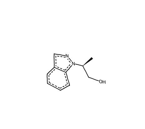 C[C@@H](CO)n1ncc2ccccc21